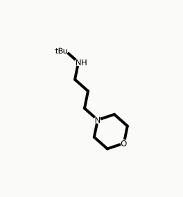 CC(C)(C)NCCCN1CCOCC1